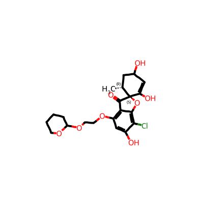 C[C@@H]1CC(O)C=C(O)[C@@]12Oc1c(Cl)c(O)cc(OCCOC3CCCCO3)c1C2=O